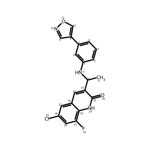 CC(Nc1cccc(-c2cnoc2)c1)c1cc2cc(Cl)cc(F)c2[nH]c1=O